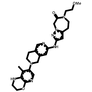 COCCN1CCc2cc(Nc3cc4c(cn3)CCN(c3cnc5c(c3C)NCCO5)C4)nn2CC1=O